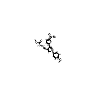 COC(=O)NN=Cc1cn(-c2ccc(OC)cc2)nc1-c1ccc([N+](=O)[O-])o1